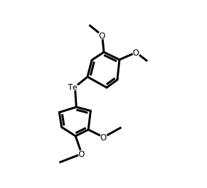 COc1ccc([Te]c2ccc(OC)c(OC)c2)cc1OC